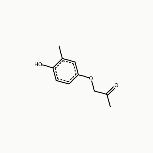 CC(=O)COc1ccc(O)c(C)c1